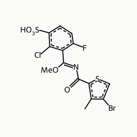 COC(=NC(=O)c1scc(Br)c1C)c1c(F)ccc(S(=O)(=O)O)c1Cl